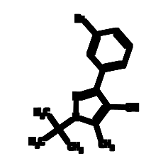 Cc1c(O)c(-c2cccc(Br)c2)nn1C(C)(C)C